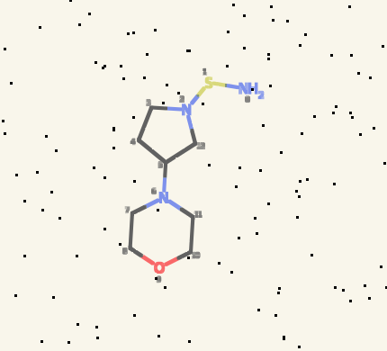 NSN1CCC(N2CCOCC2)C1